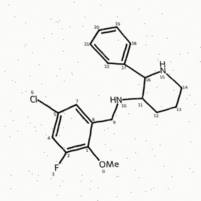 COc1c(F)cc(Cl)cc1CNC1CCCNC1c1ccccc1